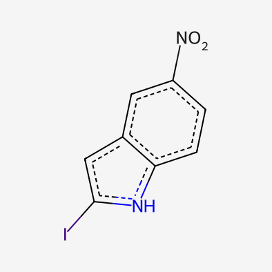 O=[N+]([O-])c1ccc2[nH]c(I)cc2c1